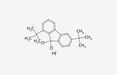 CC(C)(C)c1ccc2c(c1)-c1cccc(C(C)(C)C)c1C2(Cl)Cl.[Hf]